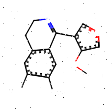 COc1cc2c(cc1OC)C(c1cocc1OC(=O)O)=NCC2.Cl